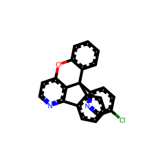 Clc1ccc(C23c4ccccc4Oc4ccnc(c42)-c2ccccc23)nc1